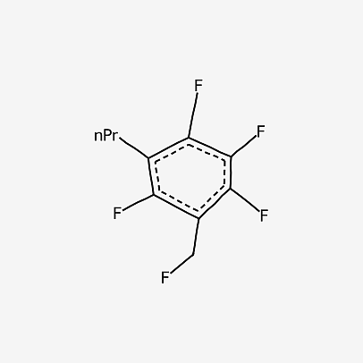 CCCc1c(F)c(F)c(F)c(CF)c1F